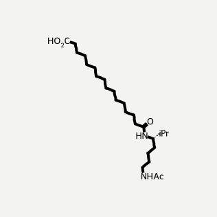 CC(=O)NCCCC[C@H](NC(=O)CCCCCCCCCCCCCCC(=O)O)C(C)C